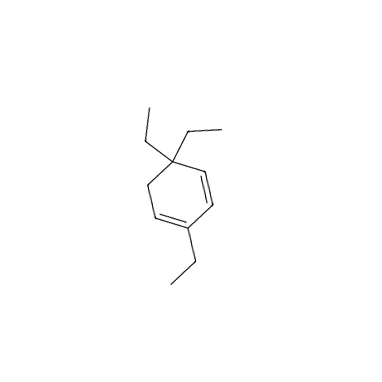 CCC1=CCC(CC)(CC)C=C1